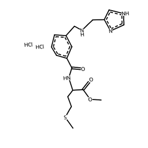 COC(=O)C(CCSC)NC(=O)c1cccc(CNCc2c[nH]cn2)c1.Cl.Cl